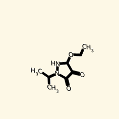 CCOC1NN(C(C)C)C(=O)C1=O